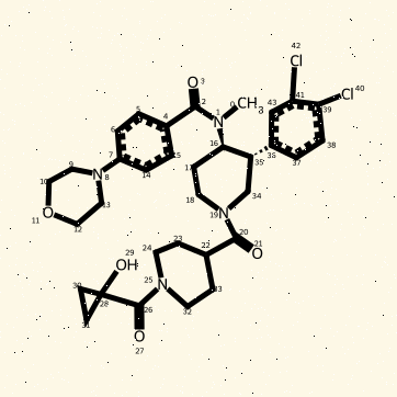 CN(C(=O)c1ccc(N2CCOCC2)cc1)[C@@H]1CCN(C(=O)C2CCN(C(=O)C3(O)CC3)CC2)C[C@H]1c1ccc(Cl)c(Cl)c1